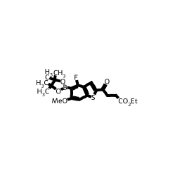 CCOC(=O)CCC(=O)c1cc2c(F)c(B3OC(C)(C)C(C)(C)O3)c(OC)cc2s1